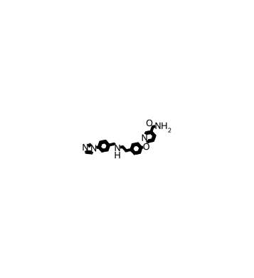 NC(=O)c1ccc(Oc2ccc(CCNCc3ccc(-n4ccnc4)cc3)cc2)nc1